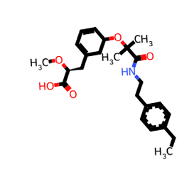 CCc1ccc(CCNC(=O)C(C)(C)OC2C=CC=C(C[C@H](OC)C(=O)O)C2)cc1